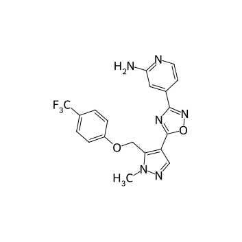 Cn1ncc(-c2nc(-c3ccnc(N)c3)no2)c1COc1ccc(C(F)(F)F)cc1